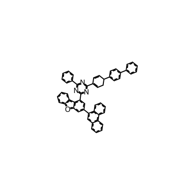 C1=CC(c2ccc(-c3ccccc3)cc2)CC=C1c1nc(-c2ccccc2)nc(-c2cc(-c3cc4ccccc4c4ccccc34)cc3oc4ccccc4c23)n1